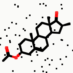 CC(=O)O[C@H]1CC[C@@]2(C)C(=CCC3C2CC[C@]2(C)C(=O)[C@@H](C)CC32)C1